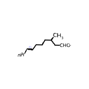 CCC/C=C/CCCC(C)C[C]=O